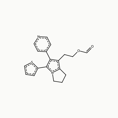 O=COCCc1c(-c2ccncc2)c(-c2cccs2)n2c1CCC2